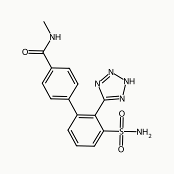 CNC(=O)c1ccc(-c2cccc(S(N)(=O)=O)c2-c2nn[nH]n2)cc1